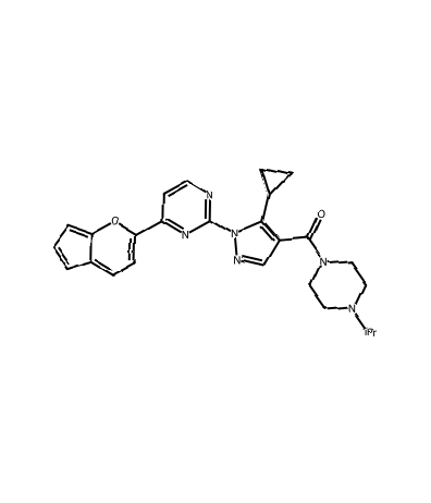 CC(C)N1CCN(C(=O)c2cnn(-c3nccc(-c4ccc5cccc-5o4)n3)c2C2CC2)CC1